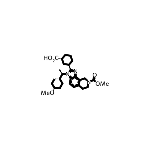 COC(=O)N1CCc2ccc3c(nc([C@@H]4CCC[C@@H](C(=O)O)C4)n3[C@H](C)[C@H]3CC[C@@H](OC)CC3)c2C1